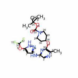 Cc1ncc(Nc2cc(OC(F)F)[nH]n2)nc1OC1CCN(C(=O)OC(C)(C)C)CC1